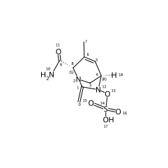 C=C1N2C[C@@H](C=C(C)[C@H]2C(N)=O)N1OS(=O)(=O)O